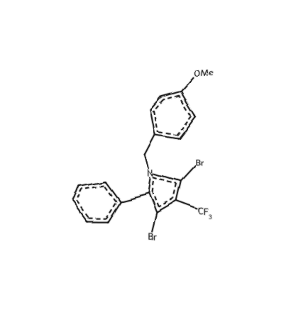 COc1ccc(Cn2c(Br)c(C(F)(F)F)c(Br)c2-c2ccccc2)cc1